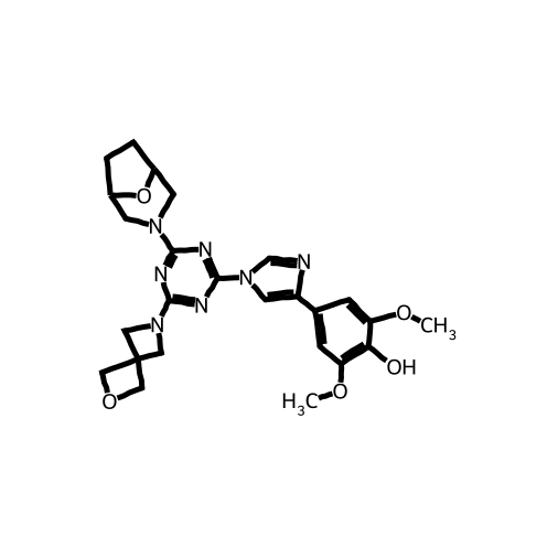 COc1cc(-c2cn(-c3nc(N4CC5CCC(C4)O5)nc(N4CC5(COC5)C4)n3)cn2)cc(OC)c1O